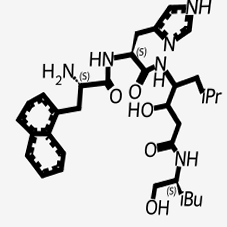 CCC(C)[C@@H](CO)NC(=O)CC(O)C(CC(C)C)NC(=O)[C@H](Cc1c[nH]cn1)NC(=O)[C@@H](N)Cc1cccc2ccccc12